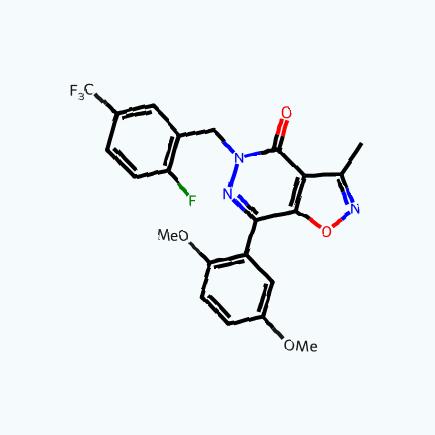 COc1ccc(OC)c(-c2nn(Cc3cc(C(F)(F)F)ccc3F)c(=O)c3c(C)noc23)c1